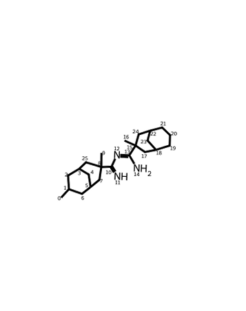 CC1CC2CC(C1)CC(C)(C(=N)/N=C(\N)C1(C)CC3CCCC(C3)C1)C2